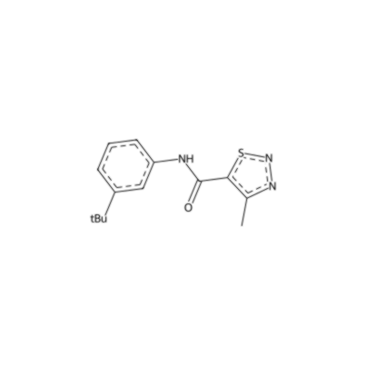 Cc1nnsc1C(=O)Nc1cccc(C(C)(C)C)c1